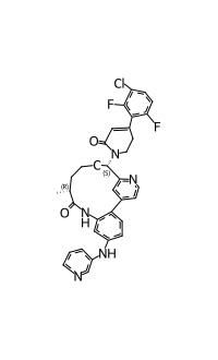 C[C@@H]1CCC[C@H](N2CCC(c3c(F)ccc(Cl)c3F)=CC2=O)c2cc(ccn2)-c2ccc(Nc3cccnc3)cc2NC1=O